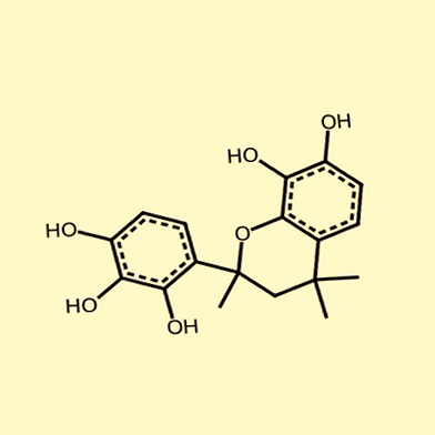 CC1(C)CC(C)(c2ccc(O)c(O)c2O)Oc2c1ccc(O)c2O